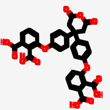 O=C1CC(c2ccc(Oc3cccc(C(=O)O)c3C(=O)O)cc2)(c2ccc(Oc3cccc(C(=O)O)c3C(=O)O)cc2)CC(=O)O1